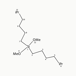 CO[Si](CCCCC(C)C)(CCCCC(C)C)OC